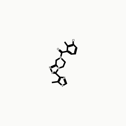 Cc1scnc1-c1nnc2n1CCN(C(=O)c1cccc(Cl)c1C)C2